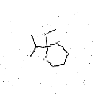 CSC1(C(C)C)OCCCO1